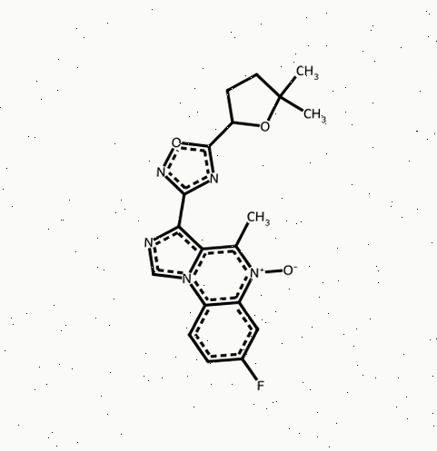 Cc1c2c(-c3noc(C4CCC(C)(C)O4)n3)ncn2c2ccc(F)cc2[n+]1[O-]